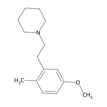 COc1ccc(C)c(CCN2CCCCC2)c1